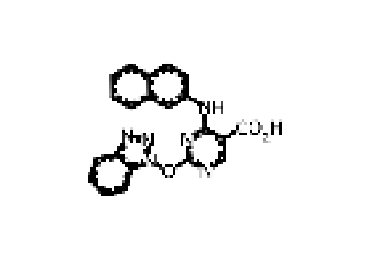 O=C(O)c1cnc(On2nnc3ccccc32)nc1Nc1ccc2ccccc2c1